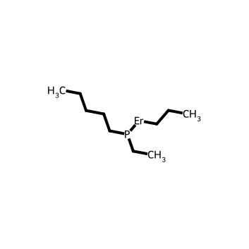 CCCCC[P](CC)[Er][CH2]CC